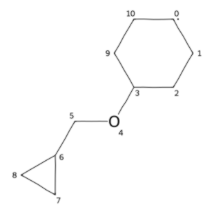 [CH]1CCC(OCC2CC2)CC1